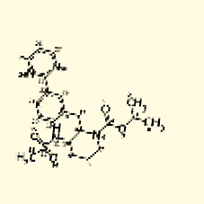 CC(C)OC(=O)N1CCCC(NS(C)(=O)=O)C1Cc1cccc(-c2ncccn2)c1